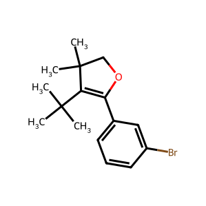 CC(C)(C)C1=C(c2cccc(Br)c2)OCC1(C)C